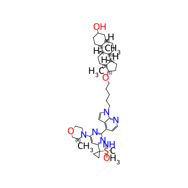 C[C@@H]1COCCN1c1cc(C2(S(C)(=N)=O)CC2)nc(-c2ccnc3c2ccn3CCCCCO[C@H]2CC[C@H]3[C@@H]4CC[C@H]5CC(O)CC[C@]5(C)[C@H]4CC[C@]23C)n1